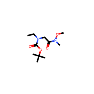 CCN(CC(=O)N(C)OC)C(=O)OC(C)(C)C